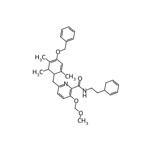 COCOc1ccc(CC2C(C)=CC(OCc3ccccc3)=C(C)C2C)nc1C(=O)NCCC1C=CC=CC1